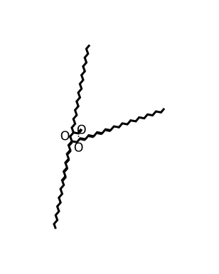 CCCCCCCCCCC/C=C/C=C/C=C/C=C/C=C(\C(=O)/C=C/C=C/C=C/C=C/CCCCCCCCCCCCC)C(=O)C([C]=O)CCCCCCCCCCCCCCCCCCCC